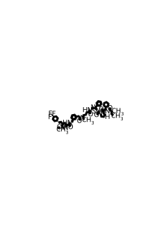 CC[C@@H](C)C(=O)N[C@H](C(=O)N1CCC[C@H]1C(=O)Nc1sc(NC(=O)CCCN(C)C(=O)Cc2cccc(CNC(=O)c3cc(/C=C/[C@H]4CC[C@H](C(F)(F)F)CC4)c(OC)cn3)c2)nc1-c1ccccc1)C1CCCCC1